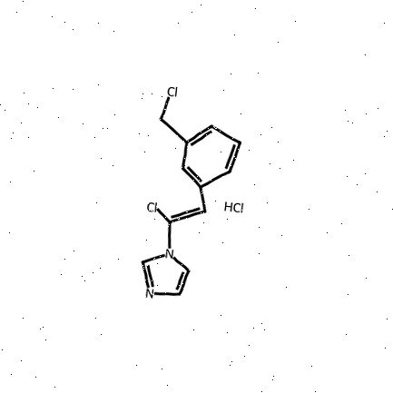 Cl.ClCc1cccc(C=C(Cl)n2ccnc2)c1